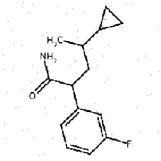 CC(CC(C(N)=O)c1cccc(F)c1)C1CC1